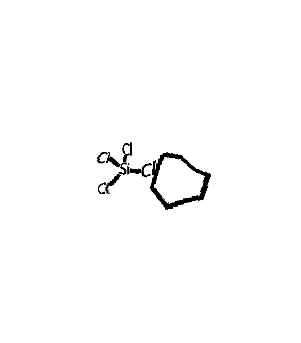 C1CCCCC1.Cl[Si](Cl)(Cl)Cl